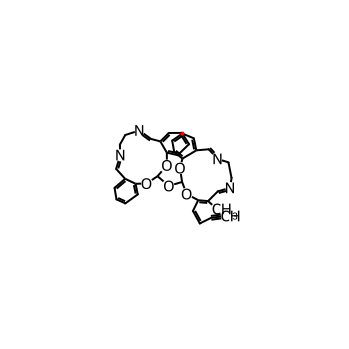 C#C\C=C/C1=C(C)/C=N/CC/N=C/c2ccccc2OC(OC2Oc3ccccc3/C=N/CC/N=C/c3ccccc3O2)O1